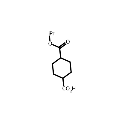 CC(C)OC(=O)C1CCC(C(=O)O)CC1